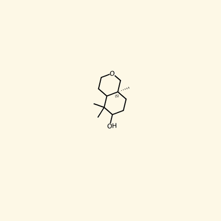 CC1(C)C(O)CC[C@]2(C)COCCC12